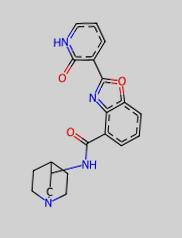 O=C(NC1CN2CCC1CC2)c1cccc2oc(-c3ccc[nH]c3=O)nc12